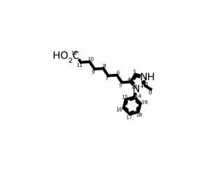 Cc1[nH]cc(CCCCCCCC(=O)O)[n+]1-c1ccccc1